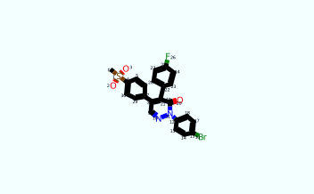 CS(=O)(=O)c1ccc(-c2cnn(-c3ccc(Br)cc3)c(=O)c2-c2ccc(F)cc2)cc1